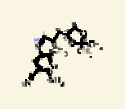 Cc1nc(N)c(C#N)cc1/N=C\CC[C@H]1COC(C)(C)O1